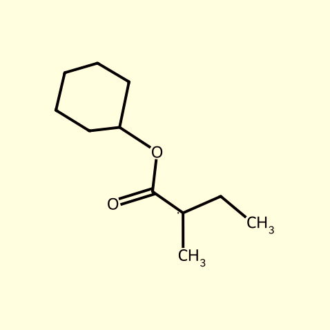 CC[C](C)C(=O)OC1CCCCC1